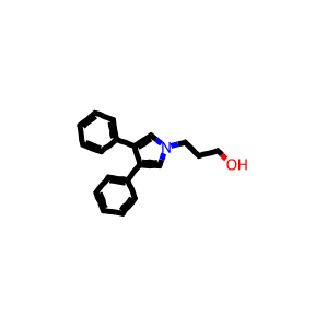 OCCCn1cc(-c2ccccc2)c(-c2ccccc2)c1